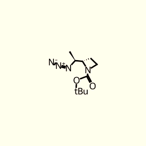 C[C@H](N=[N+]=[N-])[C@@H]1CCN1C(=O)OC(C)(C)C